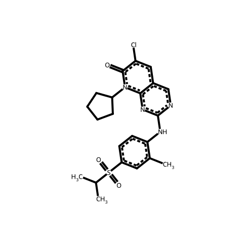 Cc1cc(S(=O)(=O)C(C)C)ccc1Nc1ncc2cc(Cl)c(=O)n(C3CCCC3)c2n1